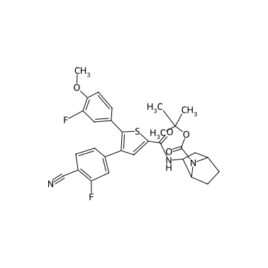 COc1ccc(-c2sc(C(=O)NC3CC4CCC3N4C(=O)OC(C)(C)C)cc2-c2ccc(C#N)c(F)c2)cc1F